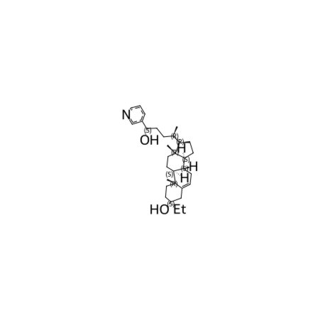 CC[C@]1(O)CC[C@@]2(C)C(=CC[C@H]3[C@@H]4CC[C@H]([C@H](C)CC[C@H](O)c5cccnc5)[C@@]4(C)CC[C@@H]32)C1